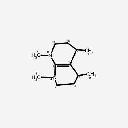 CC1CCN(C)C2=C1C(C)CCN2C